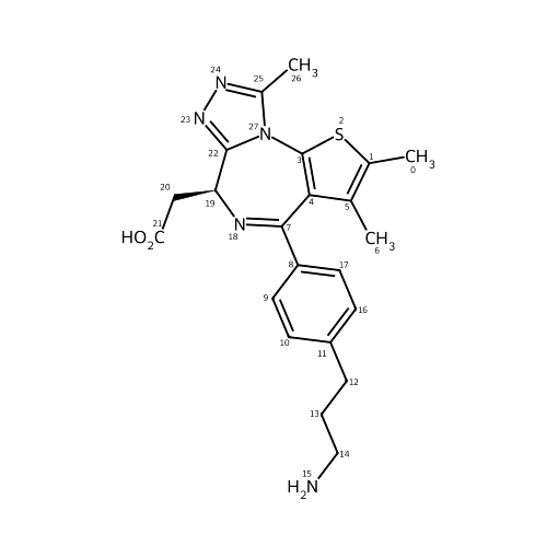 Cc1sc2c(c1C)C(c1ccc(CCCN)cc1)=N[C@@H](CC(=O)O)c1nnc(C)n1-2